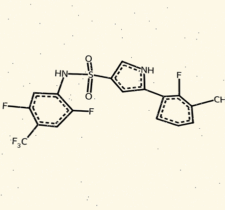 Cc1cccc(-c2cc(S(=O)(=O)Nc3cc(F)c(C(F)(F)F)cc3F)c[nH]2)c1F